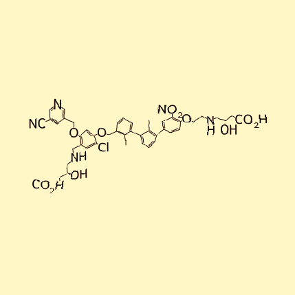 Cc1c(COc2cc(OCc3cncc(C#N)c3)c(CNC[C@@H](O)CC(=O)O)cc2Cl)cccc1-c1cccc(-c2ccc(OCCNC[C@@H](O)CC(=O)O)c([N+](=O)[O-])c2)c1C